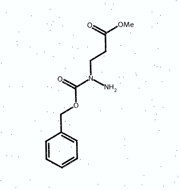 COC(=O)CCN(N)C(=O)OCc1ccccc1